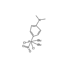 CN(C)c1cc[c]([Pd]([Cl])([Cl])([P](=O)=O)([C](C)(C)C)[C](C)(C)C)cc1